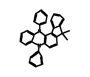 CC1(C)c2ccccc2-c2c1ccc1c2N(c2ccccc2)c2ccccc2N1c1ccccc1